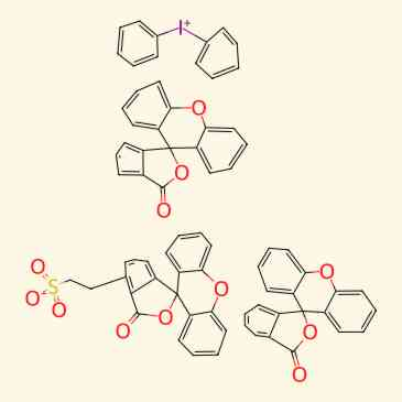 O=C1OC2(c3ccccc3Oc3ccccc32)c2cccc(CCS(=O)(=O)[O-])c21.O=C1OC2(c3ccccc3Oc3ccccc32)c2ccccc21.O=C1OC2(c3ccccc3Oc3ccccc32)c2ccccc21.c1ccc([I+]c2ccccc2)cc1